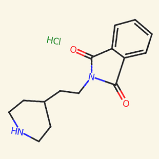 Cl.O=C1c2ccccc2C(=O)N1CCC1CCNCC1